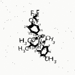 COc1ccc(C)cc1C[C@@H](NS(=O)(=O)c1ccc(OC(F)(F)F)cc1)C(C)C